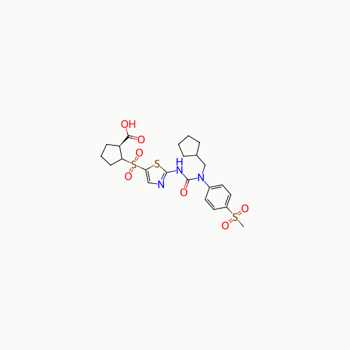 CS(=O)(=O)c1ccc(N(CC2CCCC2)C(=O)Nc2ncc(S(=O)(=O)C3CCC[C@H]3C(=O)O)s2)cc1